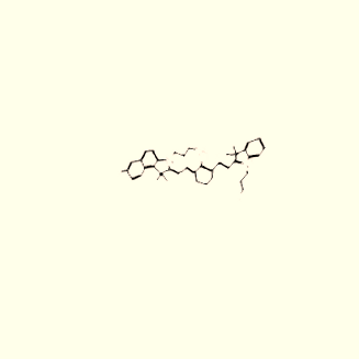 CC1(C)C(/C=C/C2=C(Cl)C(=C/C=C3\N(CCCS(=O)(=O)O)c4ccc5cc(S(=O)(=O)O)ccc5c4C3(C)C)/CCC2)=[N+](CCCS(=O)(=O)O)c2ccccc21